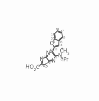 CC(C)N(C)c1nc2sc(C(=O)O)nc2nc1-c1cc2ccccc2o1